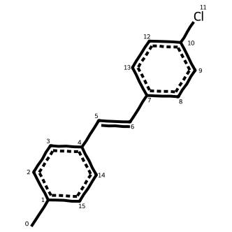 Cc1ccc(C=Cc2ccc(Cl)cc2)cc1